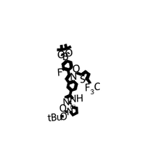 CC(C)(C)OC(=O)N1CCC[C@H]1c1ncc(-c2ccc3c(c2)cc2n3C(c3ccc(CC(F)(F)F)s3)Oc3cc(B4OC(C)(C)C(C)(C)O4)cc(F)c3-2)[nH]1